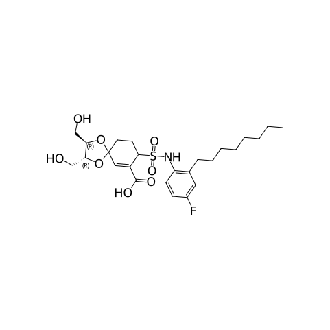 CCCCCCCCc1cc(F)ccc1NS(=O)(=O)C1CCC2(C=C1C(=O)O)O[C@H](CO)[C@@H](CO)O2